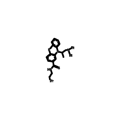 CCN(CC)CC(C)N1c2ccccc2Sc2ccc(C(=S)NCCC(C)C)cc21